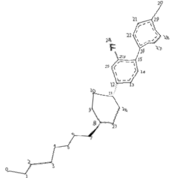 CCCCCCCC[C@H]1CC[C@H](c2ccc(-c3ccc(C)cc3)c(F)c2)CC1